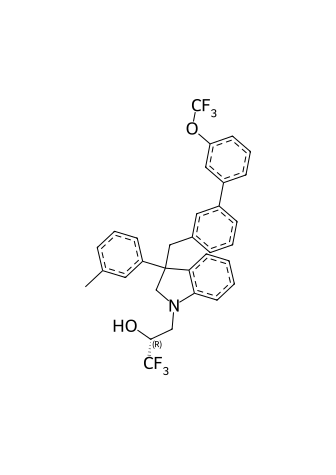 Cc1cccc(C2(Cc3cccc(-c4cccc(OC(F)(F)F)c4)c3)CN(C[C@@H](O)C(F)(F)F)c3ccccc32)c1